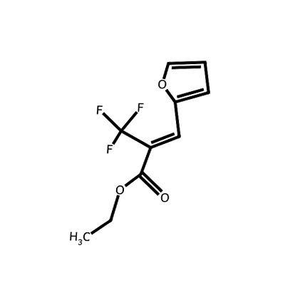 CCOC(=O)C(=Cc1ccco1)C(F)(F)F